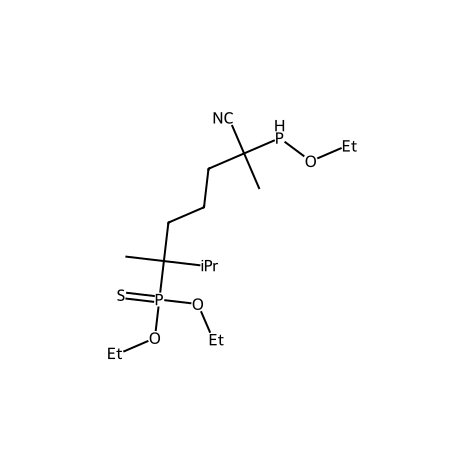 CCOPC(C)(C#N)CCCC(C)(C(C)C)P(=S)(OCC)OCC